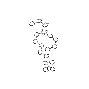 c1ccc(-c2cccc(-c3cccc(-c4ccc(-c5nc(-c6cccc(-c7cccc(-c8ccccc8)c7)c6)nc(-c6cccc(-c7cccc(-c8cccc(-c9cccc(-c%10cccc(-c%11ccc%12c(c%11)C%11(c%13ccccc%13-c%13ccccc%13%11)c%11ccccc%11-%12)c%10)c9)c8)c7)c6)n5)cc4)c3)c2)cc1